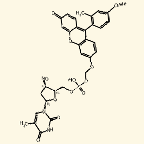 COc1ccc(-c2c3ccc(=O)cc-3oc3cc(OCOP(=O)(O)OC[C@H]4O[C@@H](n5cc(C)c(=O)[nH]c5=O)C[C@H]4N=O)ccc23)c(C)c1